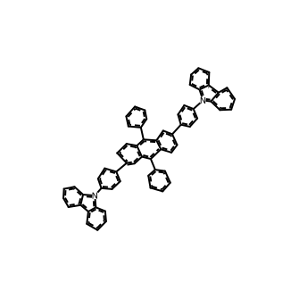 c1ccc(-c2c3ccc(-c4ccc(-n5c6ccccc6c6ccccc65)cc4)cc3c(-c3ccccc3)c3ccc(-c4ccc(-n5c6ccccc6c6ccccc65)cc4)cc23)cc1